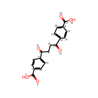 O=C(O)c1ccc(C(=O)CCC(=O)c2ccc(C(=O)O)cc2)cc1